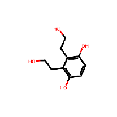 OCCc1c(O)ccc(O)c1CCO